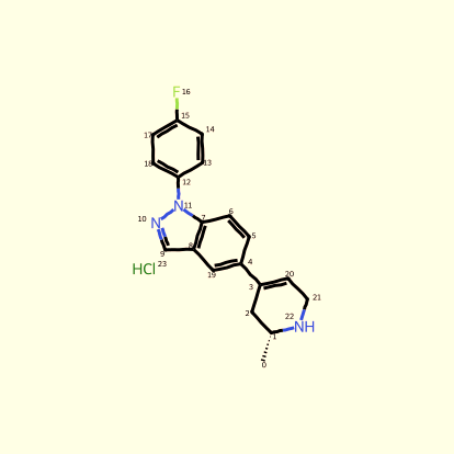 C[C@@H]1CC(c2ccc3c(cnn3-c3ccc(F)cc3)c2)=CCN1.Cl